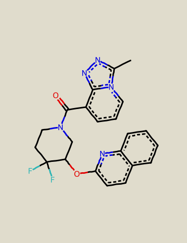 Cc1nnc2c(C(=O)N3CCC(F)(F)C(Oc4ccc5ccccc5n4)C3)cccn12